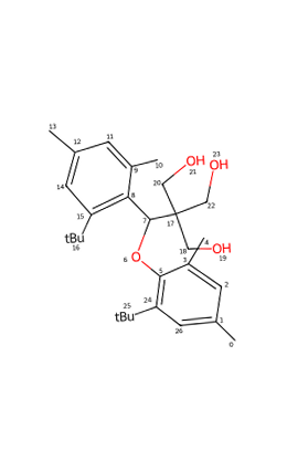 Cc1cc(C)c(OC(c2c(C)cc(C)cc2C(C)(C)C)C(CO)(CO)CO)c(C(C)(C)C)c1